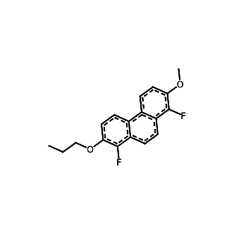 CCCOc1ccc2c(ccc3c(F)c(OC)ccc32)c1F